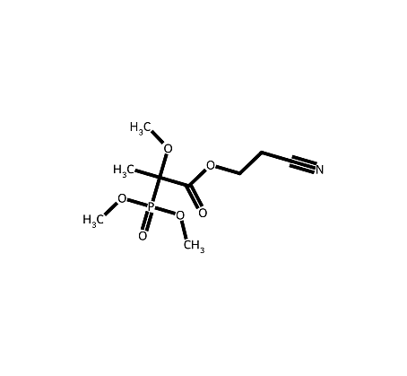 COC(C)(C(=O)OCCC#N)P(=O)(OC)OC